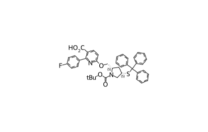 CC(C)(C)OC(=O)N1C[C@@H](SC(c2ccccc2)(c2ccccc2)c2ccccc2)C[C@H]1COc1ccc(C(=O)O)c(-c2ccc(F)cc2)n1